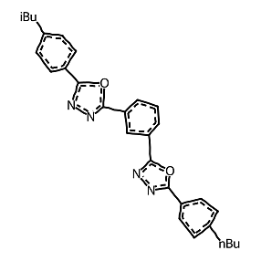 CCCCc1ccc(-c2nnc(-c3cccc(-c4nnc(-c5ccc(C(C)CC)cc5)o4)c3)o2)cc1